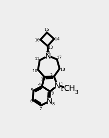 Cn1c2c(c3cccnc31)CCN(C1CCC1)CC2